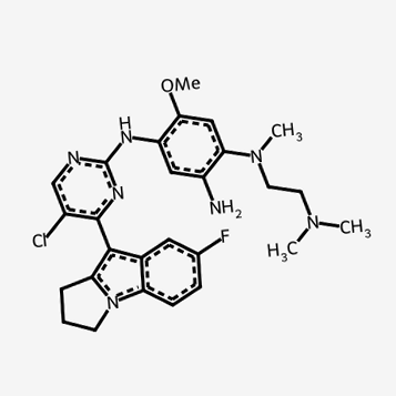 COc1cc(N(C)CCN(C)C)c(N)cc1Nc1ncc(Cl)c(-c2c3n(c4ccc(F)cc24)CCC3)n1